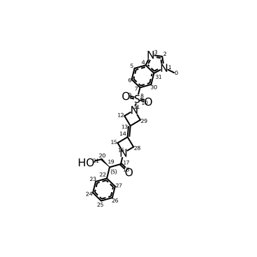 Cn1cnc2ccc(S(=O)(=O)N3CC(=C4CN(C(=O)[C@H](CO)c5ccccc5)C4)C3)cc21